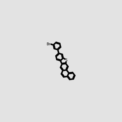 Brc1cccc(-c2ccc3c(c2)sc2cc4c(ccc5ccccc54)cc23)c1